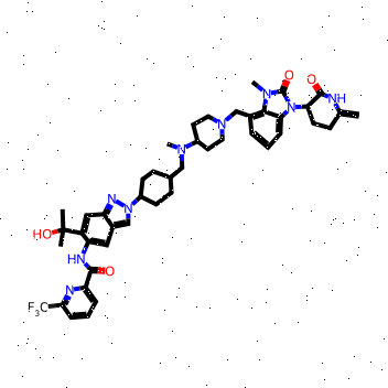 C=C1CCC(n2c(=O)n(C)c3c(CN4CCC(N(C)CC5CCC(n6cc7cc(NC(=O)c8cccc(C(F)(F)F)n8)c(C(C)(C)O)cc7n6)CC5)CC4)cccc32)C(=O)N1